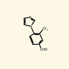 O=Cc1ccc(-n2ccnc2)c(C(F)(F)F)c1